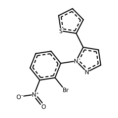 O=[N+]([O-])c1cccc(-n2nccc2-c2cccs2)c1Br